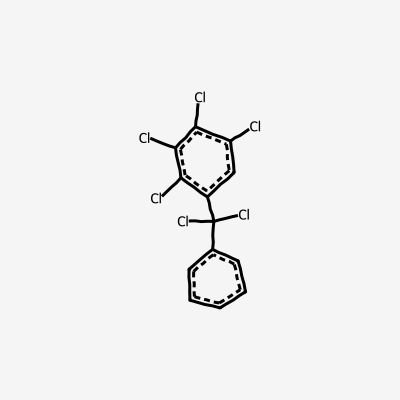 Clc1cc(C(Cl)(Cl)c2ccccc2)c(Cl)c(Cl)c1Cl